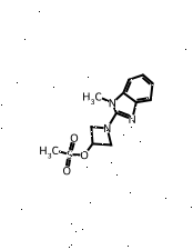 Cn1c(N2CC(OS(C)(=O)=O)C2)nc2ccccc21